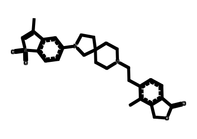 CC1=CS(=O)(=O)c2ccc(N3CCC4(CCN(CCc5ccc6c(c5C)COC6=O)CC4)C3)cc21